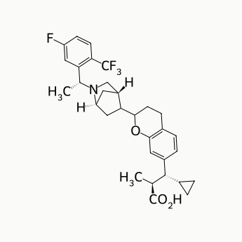 C[C@H](C(=O)O)[C@H](c1ccc2c(c1)OC(C1C[C@@H]3C[C@@H]1CN3[C@H](C)c1cc(F)ccc1C(F)(F)F)CC2)C1CC1